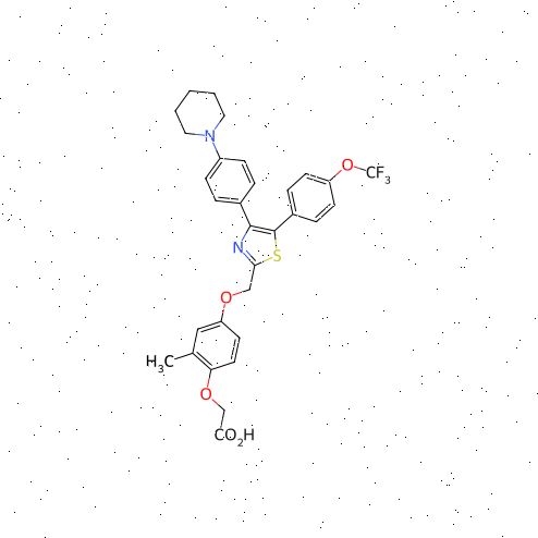 Cc1cc(OCc2nc(-c3ccc(N4CCCCC4)cc3)c(-c3ccc(OC(F)(F)F)cc3)s2)ccc1OCC(=O)O